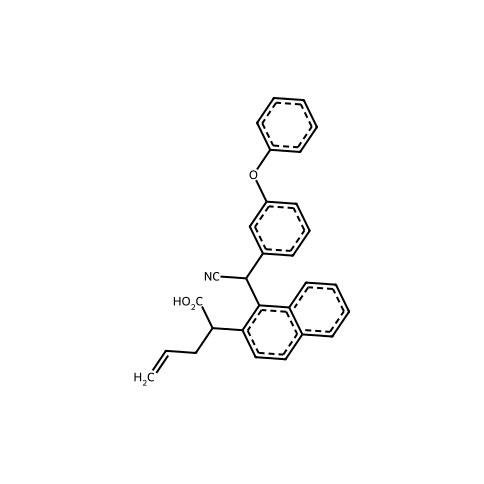 C=CCC(C(=O)O)c1ccc2ccccc2c1C(C#N)c1cccc(Oc2ccccc2)c1